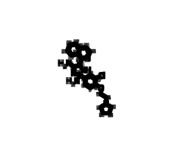 NC1=NC(N)(c2ccc(OCCN3CCCC3)c(Cl)c2)NN1c1nccc2ccccc12